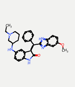 CCN1CCCC(Nc2ccc3c(c2)/C(=C(\c2ccccc2)c2nc4cc(OC)ccc4[nH]2)C(=O)N3)C1